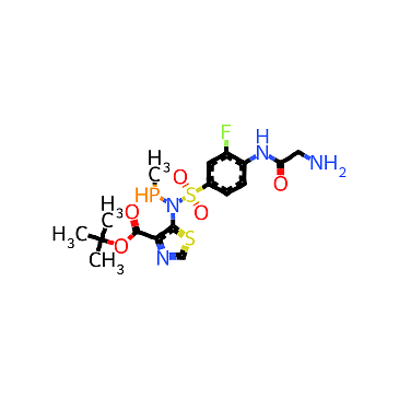 CPN(c1scnc1C(=O)OC(C)(C)C)S(=O)(=O)c1ccc(NC(=O)CN)c(F)c1